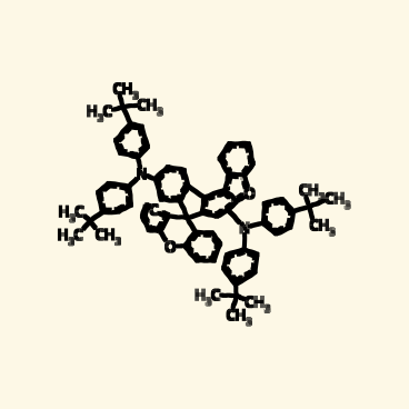 CC(C)(C)c1ccc(N(c2ccc(C(C)(C)C)cc2)c2ccc3c(c2)C2(c4ccccc4Oc4ccccc42)c2cc(N(c4ccc(C(C)(C)C)cc4)c4ccc(C(C)(C)C)cc4)c4oc5ccccc5c4c2-3)cc1